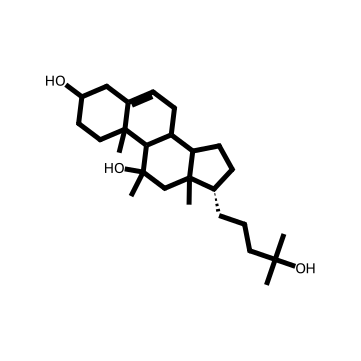 CC(C)(O)CCC[C@H]1CCC2C3CC=C4CC(O)CCC4(C)C3C(C)(O)CC21C